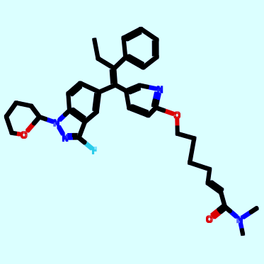 CC/C(=C(/c1ccc(OCCCC/C=C/C(=O)N(C)C)nc1)c1ccc2c(c1)c(F)nn2C1CCCCO1)c1ccccc1